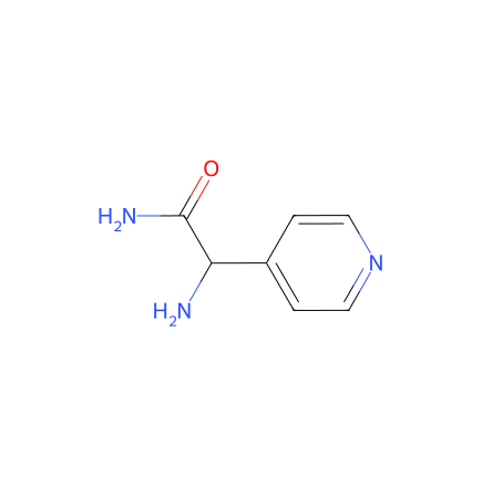 NC(=O)C(N)c1ccncc1